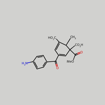 COC(=O)C1(C(=O)O)C=C(C(=O)c2ccc(N)cc2)C=C(C(=O)O)C1C